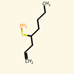 C=CCC(CCCC)SP